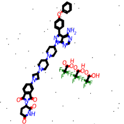 Nc1ncnc2c1c(-c1ccc(Oc3ccccc3)cc1)nn2C1CCN(C2CCN(C3CN(c4ccc5c(c4)C(=O)N(C4CCC(=O)NC4=O)C5=O)C3)CC2)CC1.O=C(O)C(F)(F)F.O=C(O)C(F)(F)F.O=C(O)C(F)(F)F